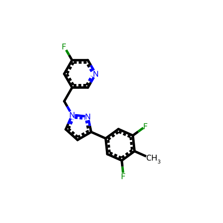 Cc1c(F)cc(-c2ccn(Cc3cncc(F)c3)n2)cc1F